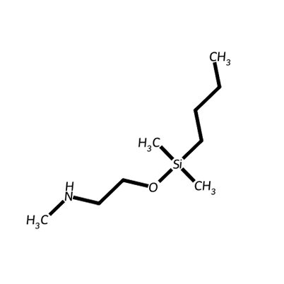 CCCC[Si](C)(C)OCCNC